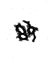 CCN1C=CN(CC)C1C.c1ccc2ncccc2c1